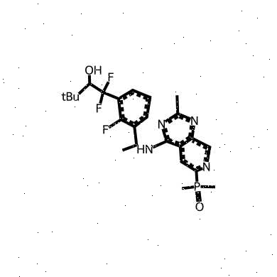 Cc1nc(NC(C)c2cccc(C(F)(F)C(O)C(C)(C)C)c2F)c2cc(P(C)(C)=O)ncc2n1